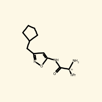 CCC[C@H](N)C(=O)Nc1cc(CC2CCCC2)no1